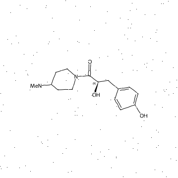 CNC1CCN(C(=O)[C@H](O)Cc2ccc(O)cc2)CC1